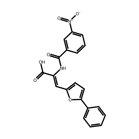 O=C(O)C(=Cc1ccc(-c2ccccc2)o1)NC(=O)c1cccc([N+](=O)[O-])c1